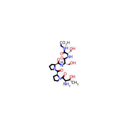 C[C@@H](O)[C@H](N)C(=O)N1CCC[C@H]1C(=O)N1CCC[C@H]1C(=O)N[C@@H](CO)C(=O)N[C@@H](CO)C(=O)NCC(=O)O